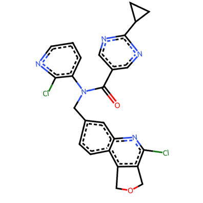 O=C(c1cnc(C2CC2)nc1)N(Cc1ccc2c3c(c(Cl)nc2c1)COC3)c1cccnc1Cl